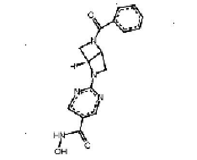 O=C(NO)c1cnc(N2CC3[C@H]2CN3C(=O)c2ccccc2)nc1